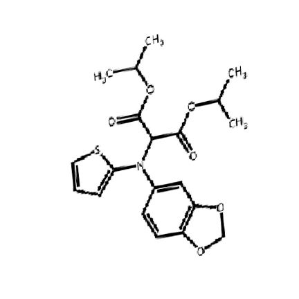 CC(C)OC(=O)C(C(=O)OC(C)C)N(c1ccc2c(c1)OCO2)c1cccs1